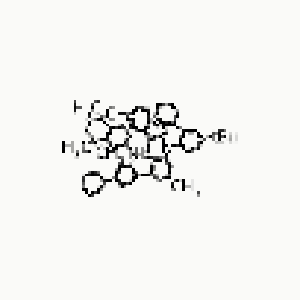 Cc1cc2c3c(c1)N(c1ccc(C(C)(C)C)cc1-c1ccccc1)c1sc4ccccc4c1B3N(c1ccc3c(c1)C(C)(C)CCC3(C)C)c1cc(-c3ccccc3)ccc1-2